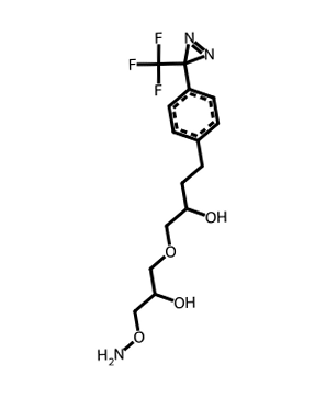 NOCC(O)COCC(O)CCc1ccc(C2(C(F)(F)F)N=N2)cc1